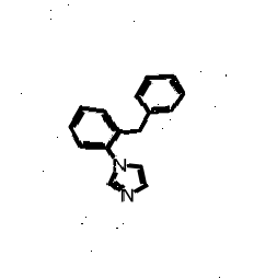 c1ccc(Cc2ccccc2-n2ccnc2)cc1